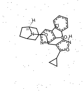 O=C(O)c1cnc(N2C3CC[C@H]2CC(OCc2c(-c4ccccc4)noc2C2CC2)C3)cc1Cl